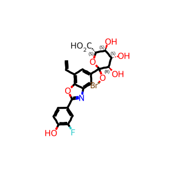 C=Cc1cc(C2(OBr)O[C@H](C(=O)O)[C@@H](O)[C@H](O)[C@H]2O)cc2nc(-c3ccc(O)c(F)c3)oc12